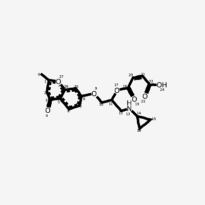 Cc1cc(=O)c2ccc(OCC(CNC3CC3)OC(=O)/C=C\C(=O)O)cc2o1